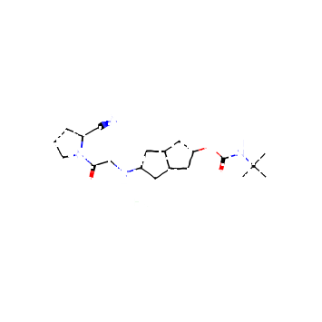 CC(C)(C)NC(=O)OC1CC2CC(NCC(=O)N3CCCC3C#N)CC2C1.Cl